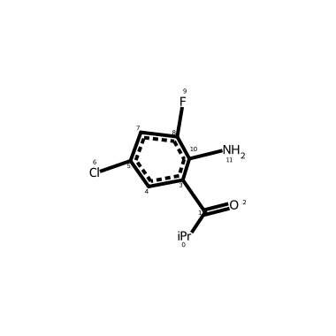 CC(C)C(=O)c1cc(Cl)cc(F)c1N